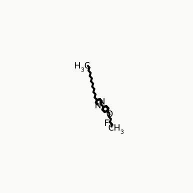 CCCCCCCCCCCCCc1cnc(-c2ccc(OCCC(F)CC)cc2)nc1